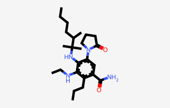 CCCCC(C)C(C)(C)Nc1c(N2CCCC2=O)cc(C(N)=O)c(CCC)c1NCC